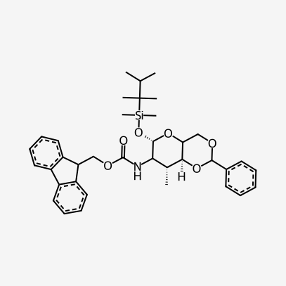 CC(C)C(C)(C)[Si](C)(C)O[C@@H]1OC2COC(c3ccccc3)O[C@H]2[C@H](C)C1NC(=O)OCC1c2ccccc2-c2ccccc21